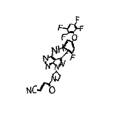 N#CC=CC(=O)N1CC[C@@H](n2nc(-c3ccc(Oc4c(F)c(F)cc(F)c4F)cc3F)c3c(N)ncnc32)C1